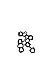 c1ccc(-c2cc3c4c(c2)N2c5ccccc5Sc5cccc(c52)B4n2c4c-3cccc4c3oc4ccccc4c32)cc1